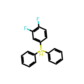 Fc1ccc([SH](c2ccccc2)c2ccccc2)cc1F